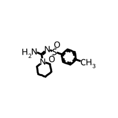 Cc1ccc(S(=O)(=O)N=C(N)N2CCCCC2)cc1